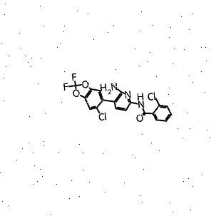 Nc1nc(NC(=O)c2ccccc2Cl)ccc1-c1cc2c(cc1Cl)OC(F)(F)O2